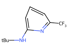 CC(C)(C)Nc1cccc(C(F)(F)F)n1